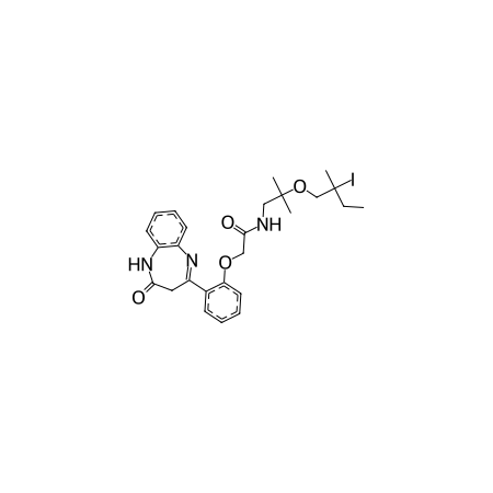 CCC(C)(I)COC(C)(C)CNC(=O)COc1ccccc1C1=Nc2ccccc2NC(=O)C1